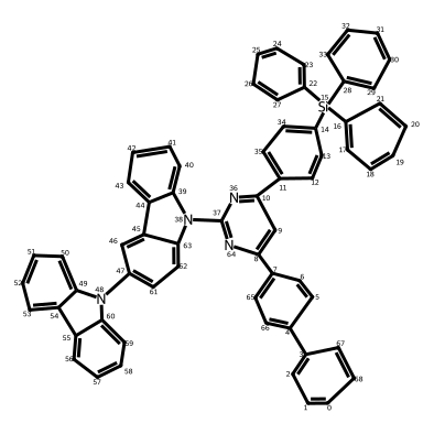 c1ccc(-c2ccc(-c3cc(-c4ccc([Si](c5ccccc5)(c5ccccc5)c5ccccc5)cc4)nc(-n4c5ccccc5c5cc(-n6c7ccccc7c7ccccc76)ccc54)n3)cc2)cc1